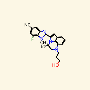 CCC1CN(CCCO)c2cccc3cc(-c4nc5cc(C#N)cc(F)c5n4C)n1c23